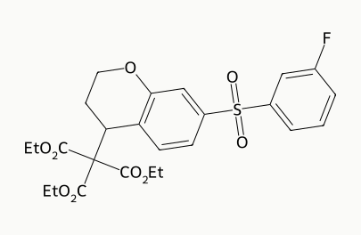 CCOC(=O)C(C(=O)OCC)(C(=O)OCC)C1CCOc2cc(S(=O)(=O)c3cccc(F)c3)ccc21